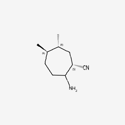 C[C@@H]1CCC(N)[C@@H](C#N)C[C@H]1C